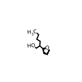 CCCCC(CO)c1ccco1